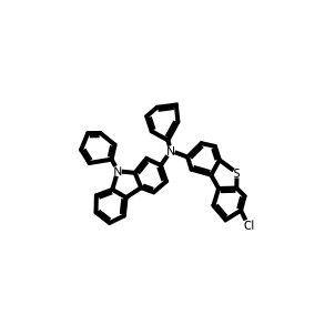 Clc1ccc2c(c1)sc1ccc(N(c3ccccc3)c3ccc4c5ccccc5n(-c5ccccc5)c4c3)cc12